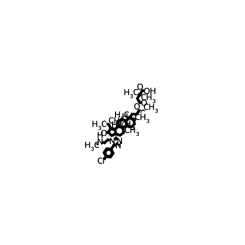 CC[C@H](CC[C@@]1(C)[C@H](C)CC[C@]2(C)[C@@H]1CC[C@@H]1C3=C(C(C)C)C(=O)C[C@]3(c3nnc(-c4ccc(Cl)cc4)n3CCNC)CC[C@]12C)OC(=O)CC(C)(C)C(=O)O